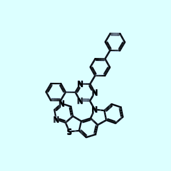 c1ccc(-c2ccc(-c3nc(-c4ccccc4)nc(-n4c5ccccc5c5ccc6sc7ncncc7c6c54)n3)cc2)cc1